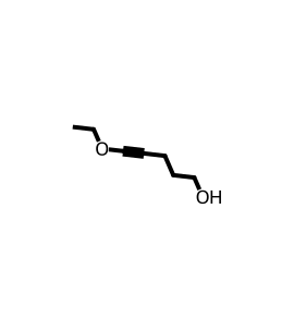 CCOC#CCCCO